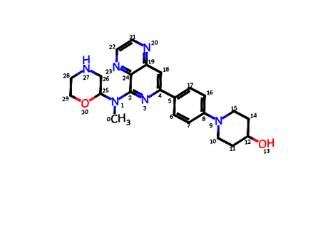 CN(c1nc(-c2ccc(N3CCC(O)CC3)cc2)cc2nccnc12)C1CNCCO1